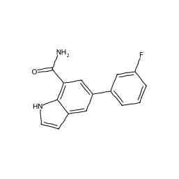 NC(=O)c1cc(-c2cccc(F)c2)cc2cc[nH]c12